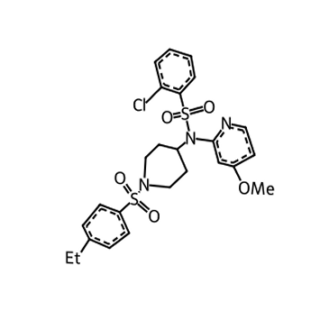 CCc1ccc(S(=O)(=O)N2CCC(N(c3cc(OC)ccn3)S(=O)(=O)c3ccccc3Cl)CC2)cc1